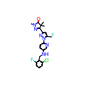 CN1N=C(c2cc(CF)n(-c3ccc(NCc4c(F)cccc4Cl)cn3)n2)C(C)(C)C1=O